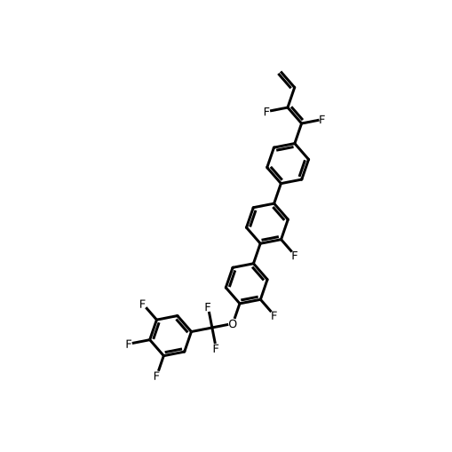 C=C/C(F)=C(\F)c1ccc(-c2ccc(-c3ccc(OC(F)(F)c4cc(F)c(F)c(F)c4)c(F)c3)c(F)c2)cc1